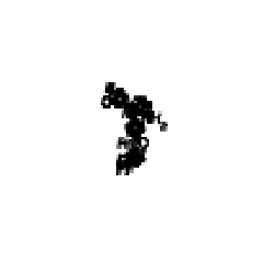 CCN1CCC(c2nc(-c3ccc(C(=O)Nc4cc(C(F)(F)F)ccn4)cc3)c3c(N)nccn23)CC1=O